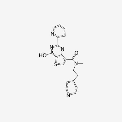 CN(CCc1ccncc1)C(=O)c1csc2c(O)nc(-c3ccccn3)nc12